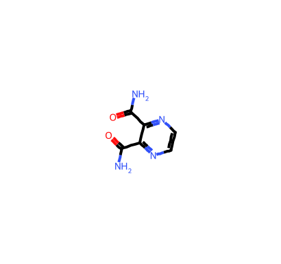 NC(=O)c1nccnc1C(N)=O